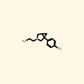 CCCN1CC2CC2(c2ccc(C)cc2)C1